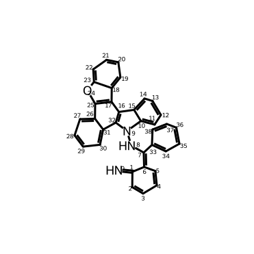 N=C1C=CC=C/C1=C(/Nn1c2ccccc2c2c3c4ccccc4oc3c3ccccc3c21)c1ccccc1